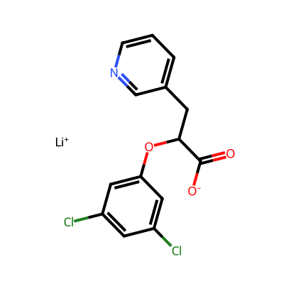 O=C([O-])C(Cc1cccnc1)Oc1cc(Cl)cc(Cl)c1.[Li+]